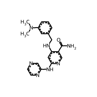 CN(C)c1cccc(CNc2cc(Nc3cnccn3)ncc2C(N)=O)c1